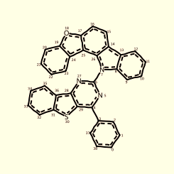 c1ccc(-c2nc(-n3c4ccccc4c4ccc5oc6ccccc6c5c43)nc3c2sc2ccccc23)cc1